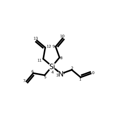 C=CC[N][Si](CC=C)(CC=C)CC=C